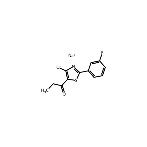 CCC(=O)c1sc(-c2cccc(F)c2)nc1[O-].[Na+]